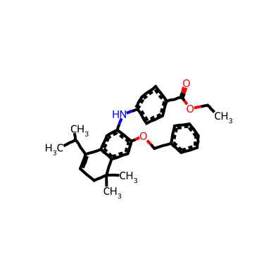 CCOC(=O)c1ccc(Nc2cc3c(cc2OCc2ccccc2)C(C)(C)CC=C3C(C)C)cc1